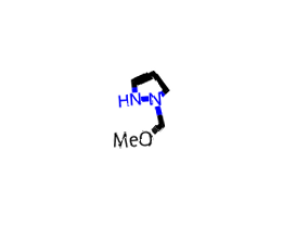 COCN1CC=CN1